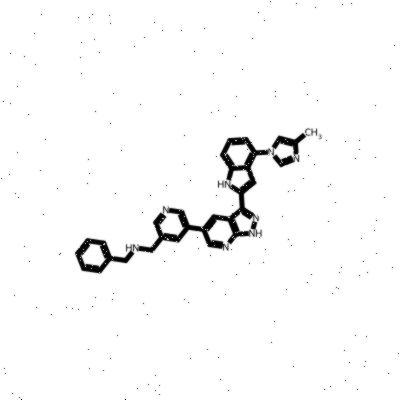 Cc1cn(-c2cccc3[nH]c(-c4n[nH]c5ncc(-c6cncc(CNCc7ccccc7)c6)cc45)cc23)cn1